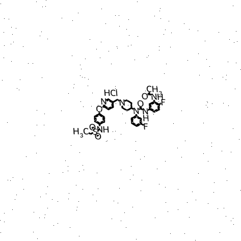 CCS(=O)(=O)Nc1ccc(Oc2ccc(CN3CCC(N(C(=O)Nc4ccc(F)c(NC(C)=O)c4)c4cccc(F)c4)CC3)cn2)cc1.Cl